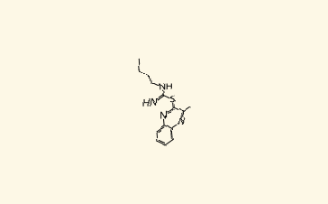 CCCCNC(=N)Sc1nc2ccccc2nc1C